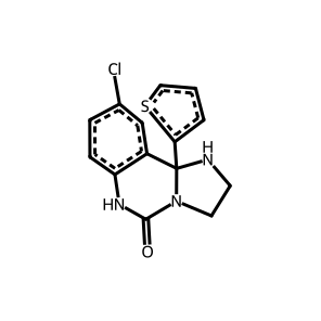 O=C1Nc2ccc(Cl)cc2C2(c3cccs3)NCCN12